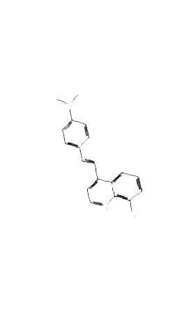 CN(C)c1ccc(C=Cc2ccnc3c(O)cccc23)cc1